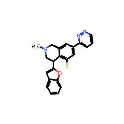 CN1Cc2cc(-c3cccnn3)cc(F)c2C(c2cc3ccccc3o2)C1